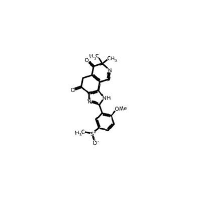 COc1ccc([S+](C)[O-])cc1-c1nc2c([nH]1)C1=C(CC2=O)C(=O)C(C)(C)N=C1